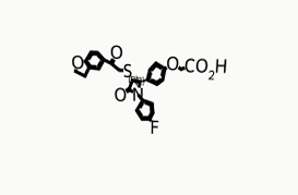 O=C(O)COc1ccc([C@@H]2[C@@H](SCC(=O)c3ccc4c(c3)CCO4)C(=O)N2c2ccc(F)cc2)cc1